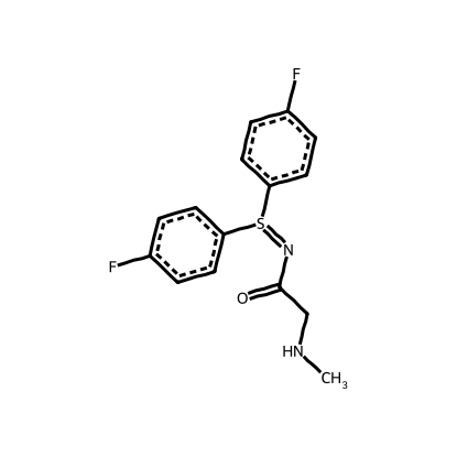 CNCC(=O)N=S(c1ccc(F)cc1)c1ccc(F)cc1